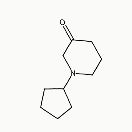 O=C1CCCN(C2CCCC2)C1